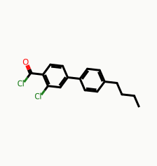 CCCCc1ccc(-c2ccc(C(=O)Cl)c(Cl)c2)cc1